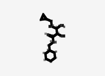 CC(NCC1CC1)C(O)C(=O)NCC1CCCCC1